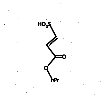 CCCOC(=O)C=CS(=O)(=O)O